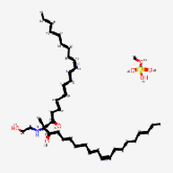 CCCCCCCC/C=C\CCCCCCCC(=O)C(C)(NCCO)C(=O)CCCCCCC/C=C\CCCCCCCC.COS(=O)(=O)O